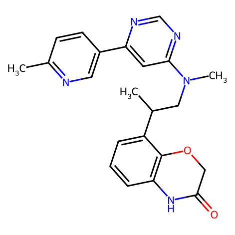 Cc1ccc(-c2cc(N(C)CC(C)c3cccc4c3OCC(=O)N4)ncn2)cn1